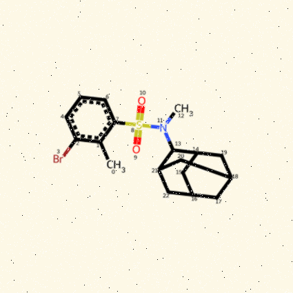 Cc1c(Br)cccc1S(=O)(=O)N(C)C1C2CC3CC(C2)CC1C3